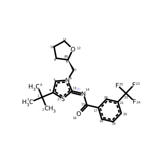 CC(C)(C)c1cn(C[C@H]2CCCO2)/c(=N/C(=O)c2cccc(C(F)(F)F)c2)s1